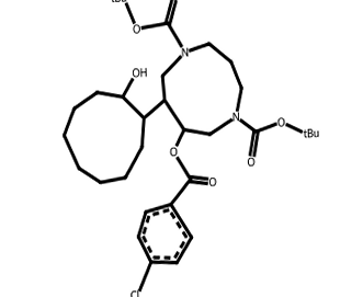 CC(C)(C)OC(=O)N1CCCN(C(=O)OC(C)(C)C)CC(C2CCCCCCCC2O)C(OC(=O)c2ccc(Cl)cc2)C1